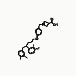 Cc1ccc(CC(CCCOc2ccc(CN3CC(C(=O)O)C3)cc2)c2cccc(F)c2C)cc1C